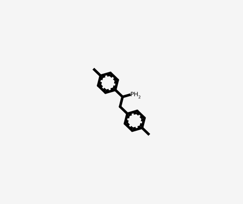 Cc1ccc(CC(P)c2ccc(C)cc2)cc1